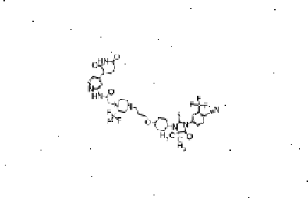 CC1(C)C(=O)N(c2ccc(C#N)c(C(F)(F)F)c2)C(=S)N1[C@H]1CC[C@H](OCCCN2CCN(CC(=O)Nc3cc(C4CCC(=O)NC4=O)ccn3)[C@@H](C(F)(F)F)C2)CC1